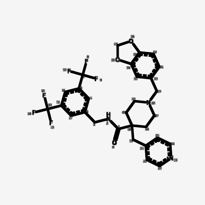 O=C(NCc1cc(C(F)(F)F)cc(C(F)(F)F)c1)C1(Cc2ccncc2)CCN(Cc2ccc3c(c2)OCO3)CC1